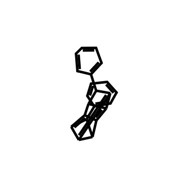 c1ccc(C2C3=C4C5=C6C(=C3C62)C4C5c2ccccc2)cc1